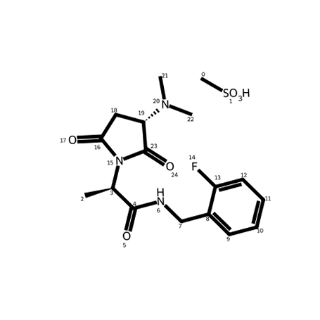 CS(=O)(=O)O.C[C@H](C(=O)NCc1ccccc1F)N1C(=O)C[C@H](N(C)C)C1=O